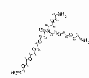 C#CCOCCOCCOCCOCCC(=O)N(CCOCCN)CCOCCOCCN